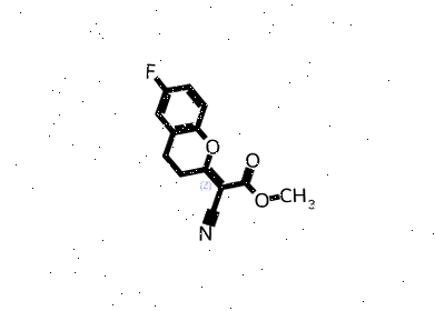 COC(=O)/C(C#N)=C1/CCc2cc(F)ccc2O1